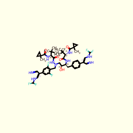 CC1(C(=O)N[C@H](C(=O)N[C@@H](Cc2ccc(/C(C=N)=C/NC(F)F)cc2)[C@@H](O)CN(Cc2c(F)cc(/C(C=N)=C/NC(F)F)cc2F)NC(=O)[C@@H](NC(=O)C2(C)CC2)C(C)(C)C(F)(F)F)C(C)(C)C(F)(F)F)CC1